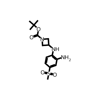 CC(C)(C)OC(=O)N1CC(Nc2ccc(S(C)(=O)=O)cc2N)C1